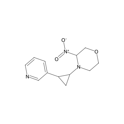 O=[N+]([O-])C1COCCN1C1CC1c1cccnc1